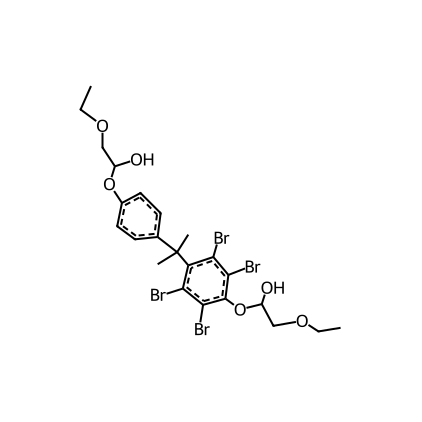 CCOCC(O)Oc1ccc(C(C)(C)c2c(Br)c(Br)c(OC(O)COCC)c(Br)c2Br)cc1